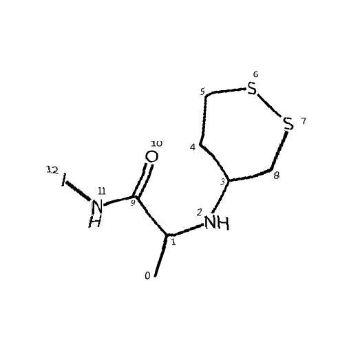 CC(NC1CCSSC1)C(=O)NI